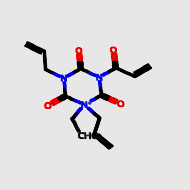 C=CCN1C(=O)N(C(=O)C=C)C(=O)[N+](CC=C)(CC=O)C1=O